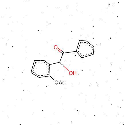 CC(=O)Oc1ccccc1C(O)C(=O)c1ccccc1